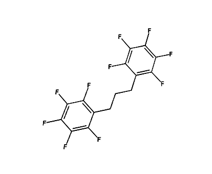 Fc1c(F)c(F)c(CCCc2c(F)c(F)c(F)c(F)c2F)c(F)c1F